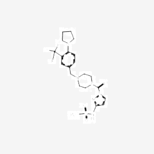 CS(=O)(=O)Nc1ccn(C(=O)N2CCN(Cc3ccc(N4CCCC4)c(C(F)(F)F)c3)CC2)n1